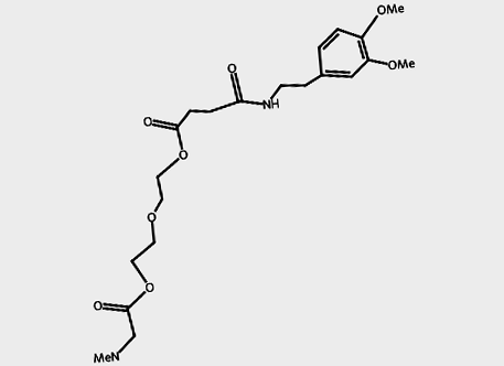 CNCC(=O)OCCOCCOC(=O)CCC(=O)NCCc1ccc(OC)c(OC)c1